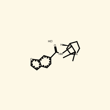 CC1(C)[C@H](NC(=O)c2ccc3ccoc3c2)C2CCN1CC2.Cl